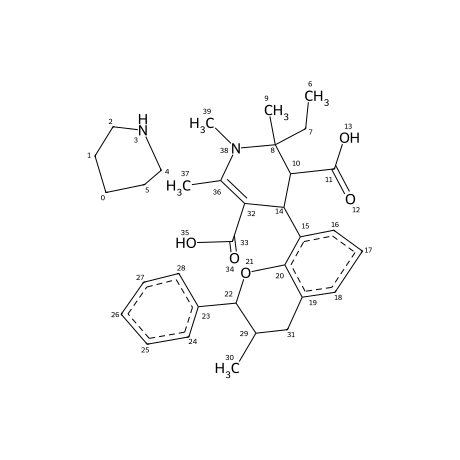 C1CCNCC1.CCC1(C)C(C(=O)O)C(c2cccc3c2OC(c2ccccc2)C(C)C3)C(C(=O)O)=C(C)N1C